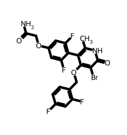 Cc1[nH]c(=O)c(Br)c(OCc2ccc(F)cc2F)c1-c1c(F)cc(OCC(N)=O)cc1F